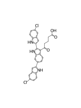 O=C(O)CCCC(=O)c1c(-c2cc3cc(Cl)ccc3[nH]2)[nH]c2cc(-c3cc4cc(Cl)ccc4[nH]3)ccc12